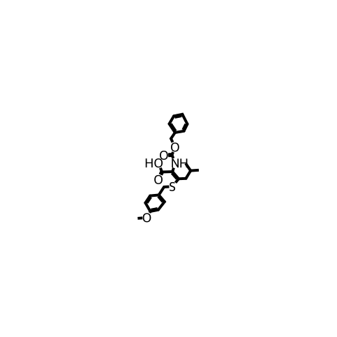 COc1ccc(CSC(CC(C)C)=C(NC(=O)OCc2ccccc2)C(=O)O)cc1